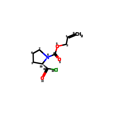 C=CCOC(=O)N1CCC[C@H]1C(=O)Cl